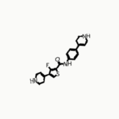 O=C(Nc1ccc(C2=CCNCC2)cc1)c1scc(C2=CCNCC2)c1F